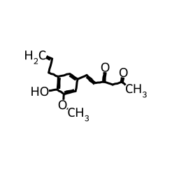 C=CCc1cc(C=CC(=O)CC(C)=O)cc(OC)c1O